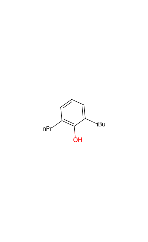 CCCc1cccc(C(C)CC)c1O